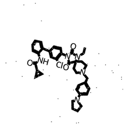 CCN1C(=O)N(c2ccc(-c3ccccc3NC(=O)C3CC3)cc2Cl)C(=O)C12CCN(Cc1ccc(N3CCCC3)cc1)CC2